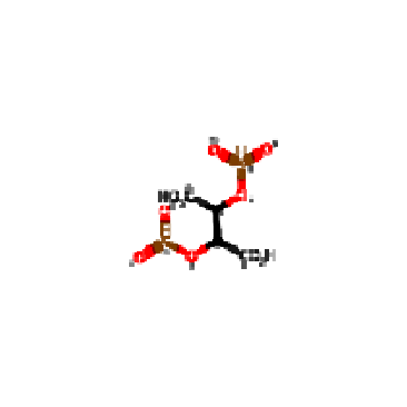 O=C(O)C(O[SH](=O)=O)C(O[SH](=O)=O)C(=O)O